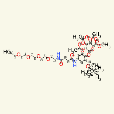 C#CCOCCOCCOCCOCCNC(=O)CCC(=O)Nc1ccc(O[C@@H]2OC(C(=O)OC)[C@@H](OC(C)=O)C(OC(C)=O)C2OC(C)=O)c(CO[Si](C)(C)C(C)(C)C)c1